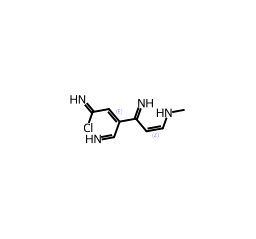 CN/C=C\C(=N)/C(C=N)=C/C(=N)Cl